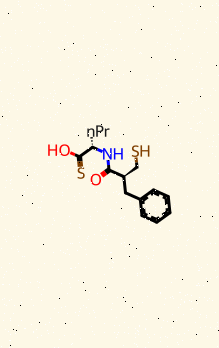 CCC[C@H](NC(=O)[C@@H](CS)Cc1ccccc1)C(O)=S